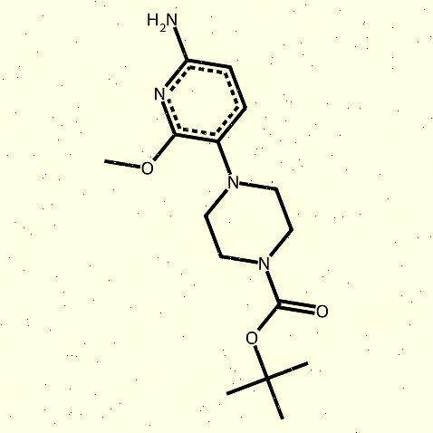 COc1nc(N)ccc1N1CCN(C(=O)OC(C)(C)C)CC1